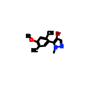 CCOc1cc(C#N)c(-c2c(Br)cnn2C)cc1C#N